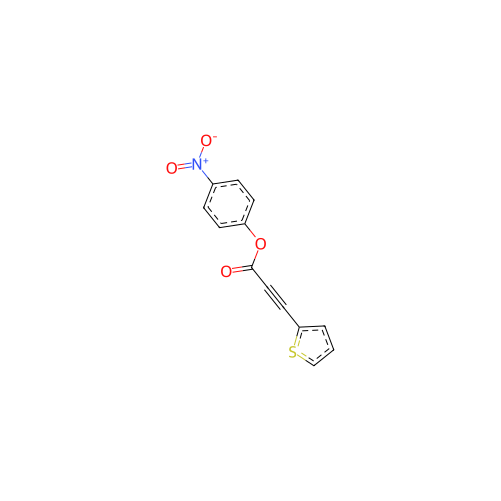 O=C(C#Cc1cccs1)Oc1ccc([N+](=O)[O-])cc1